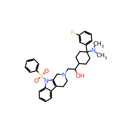 CN(C)C1(c2cccc(F)c2)CCC(C(O)CN2CCc3c(n(S(=O)(=O)c4ccccc4)c4ccccc34)C2)CC1